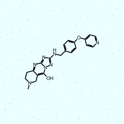 CN1CCc2nc3nc(NCc4ccc(Oc5ccncc5)cc4)nn3c(O)c2C1